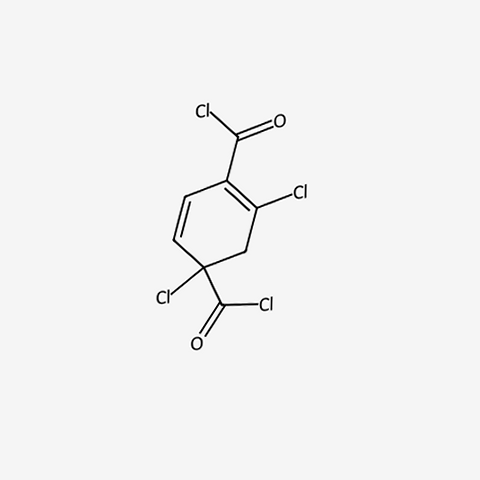 O=C(Cl)C1=C(Cl)CC(Cl)(C(=O)Cl)C=C1